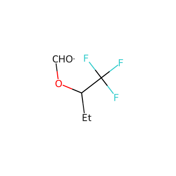 CCC(O[C]=O)C(F)(F)F